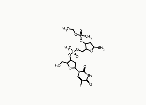 BC1CC(OP(C)(=S)OCC)C(COP(C)(=O)OC2CC(n3cc(I)c(=O)[nH]c3=O)OC2CO)O1